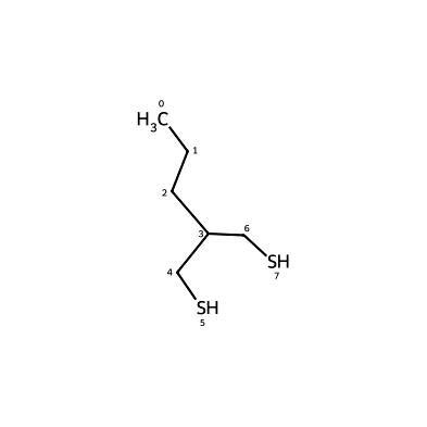 CCCC(CS)CS